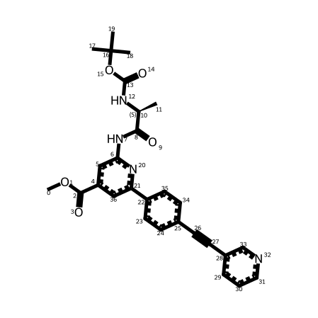 COC(=O)c1cc(NC(=O)[C@H](C)NC(=O)OC(C)(C)C)nc(-c2ccc(C#Cc3cccnc3)cc2)c1